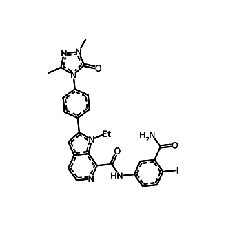 CCn1c(-c2ccc(-n3c(C)nn(C)c3=O)cc2)cc2ccnc(C(=O)Nc3ccc(I)c(C(N)=O)c3)c21